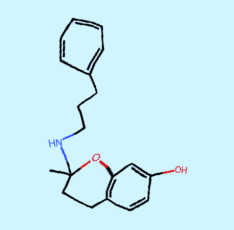 CC1(NCCCc2ccccc2)CCc2ccc(O)cc2O1